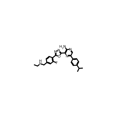 CCNCc1ccc(-c2nnc(-c3nc(-c4ccc(C(C)C)cc4)cnc3N)o2)c(F)c1